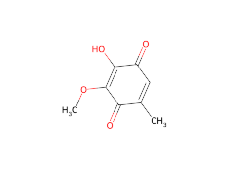 COC1=C(O)C(=O)C=C(C)C1=O